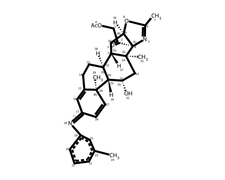 CC(=O)OCC(=O)[C@@]12N=C(C)O[C@@H]1C[C@H]1[C@@H]3CCC4=C/C(=N/c5cccc(C)c5)C=C[C@]4(C)[C@H]3[C@@H](O)C[C@@]12C